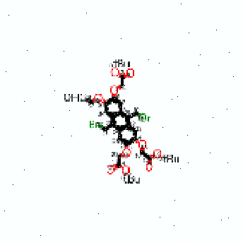 CC(C)(C)OC(=O)COc1cc2c(CBr)c3cc(OCC(=O)OC(C)(C)C)c(OCC(=O)OC(C)(C)C)cc3c(CBr)c2cc1OCC=O